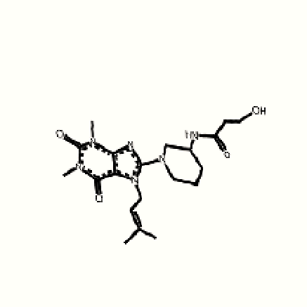 CC(C)=CCn1c(N2CCCC(NC(=O)CCO)C2)nc2c1c(=O)n(C)c(=O)n2C